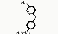 Cc1ccc(Sc2ccc(NN)cc2)nc1